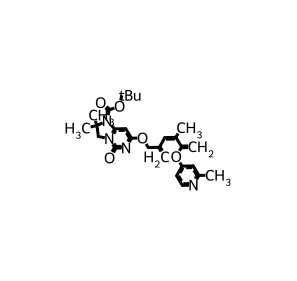 C=C(/C=C(/C)C(=C)Oc1ccnc(C)c1)COc1cc2n(c(=O)n1)CC(C)(C)N2C(=O)OC(C)(C)C